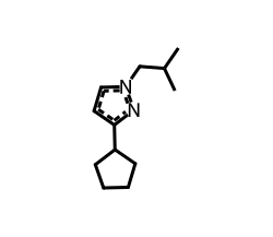 CC(C)Cn1ccc(C2CCCC2)n1